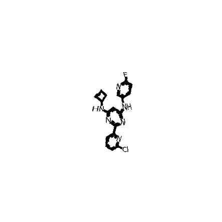 Fc1ccc(Nc2cc(NC3CCC3)nc(-c3cccc(Cl)n3)n2)cn1